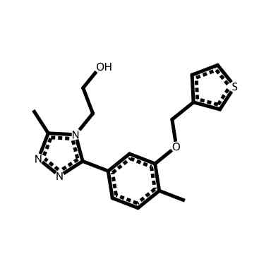 Cc1ccc(-c2nnc(C)n2CCO)cc1OCc1ccsc1